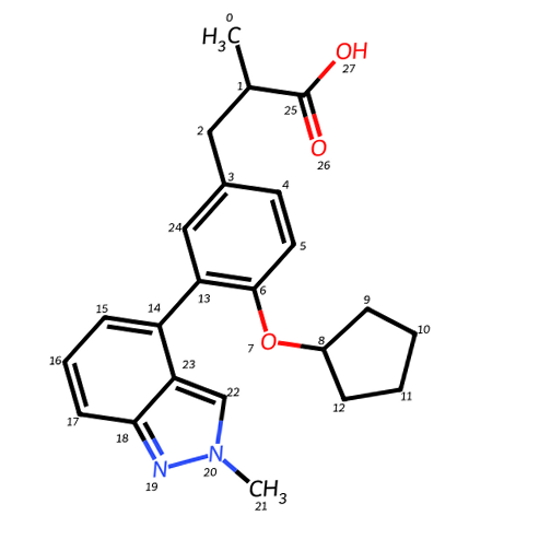 CC(Cc1ccc(OC2CCCC2)c(-c2cccc3nn(C)cc23)c1)C(=O)O